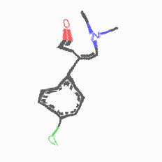 CN(C)C=C(C=O)c1ccc(Cl)cc1